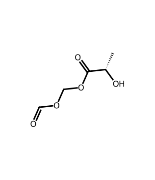 C[C@H](O)C(=O)OCOC=O